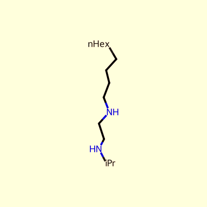 CCCCCCCCCCNCCNC(C)C